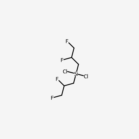 FCC(F)C[Si](Cl)(Cl)CC(F)CF